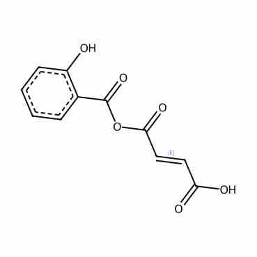 O=C(O)/C=C/C(=O)OC(=O)c1ccccc1O